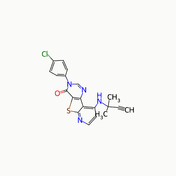 C#CC(C)(C)Nc1ccnc2sc3c(=O)n(-c4ccc(Cl)cc4)cnc3c12